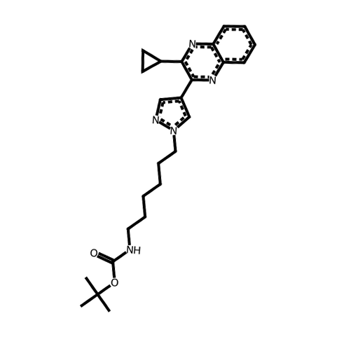 CC(C)(C)OC(=O)NCCCCCCn1cc(-c2nc3ccccc3nc2C2CC2)cn1